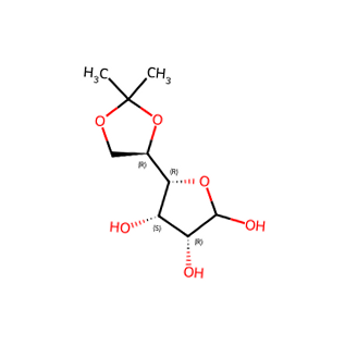 CC1(C)OC[C@H]([C@@H]2OC(O)[C@H](O)[C@@H]2O)O1